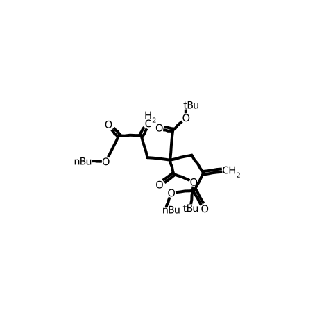 C=C(CC(CC(=C)C(=O)OCCCC)(C(=O)OC(C)(C)C)C(=O)OC(C)(C)C)C(=O)OCCCC